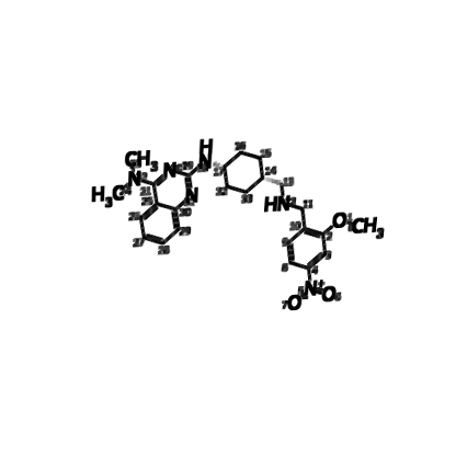 COc1cc([N+](=O)[O-])ccc1CNC[C@H]1CC[C@@H](Nc2nc(N(C)C)c3ccccc3n2)CC1